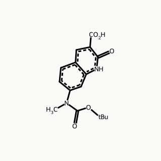 CN(C(=O)OC(C)(C)C)c1ccc2cc(C(=O)O)c(=O)[nH]c2c1